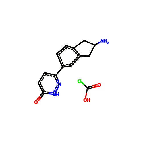 NC1Cc2ccc(-c3ccc(=O)[nH]n3)cc2C1.O=C(O)Cl